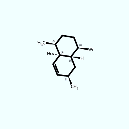 CC(C)[C@@H]1CC[C@H](C)[C@@H]2C=C[C@H](C)C[C@H]21